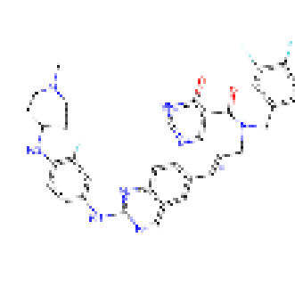 CN1CCC(Nc2ccc(Nc3ncc4cc(/C=C/CN(Cc5ccc(F)c(F)c5)C(=O)c5cnc[nH]c5=O)ccc4n3)cc2F)CC1